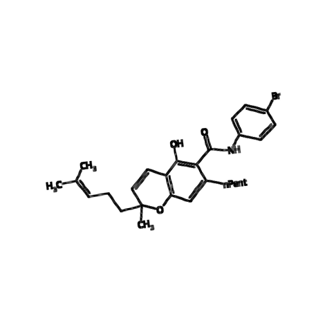 CCCCCc1cc2c(c(O)c1C(=O)Nc1ccc(Br)cc1)C=CC(C)(CCC=C(C)C)O2